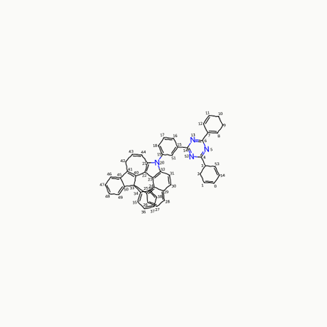 C1=CCC(c2nc(C3=CCCC=C3)nc(-c3cccc(-n4c5c6c7c8c(cccc8ccc74)C4(c7ccccc7)C6=C(CC=C5)c5ccccc54)c3)n2)C=C1